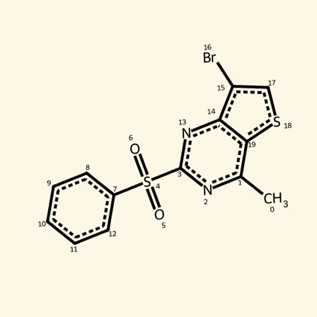 Cc1nc(S(=O)(=O)c2ccccc2)nc2c(Br)csc12